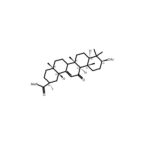 CNC(=O)[C@@]1(C)CC[C@]2(C)CCC3C(=CC(=O)[C@@H]4[C@@]5(C)CC[C@H](OC(C)=O)C(C)(C)[C@@H]5CC[C@@]34C)[C@@H]2C1